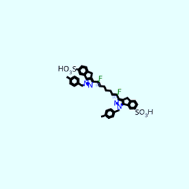 Cc1ccc(Cn2nc(/C(F)=C/CCC/C=C(\F)c3nn(Cc4ccc(C)cc4)c4c3Cc3ccc(S(=O)(=O)O)cc3-4)c3c2-c2cc(S(=O)(=O)O)ccc2C3)cc1